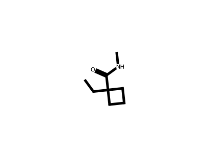 CCC1(C(=O)NC)CCC1